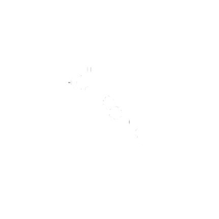 CCOC(=O)/C=C(\C)c1ccc2cc(OCC(=O)OC(C)(C)CC)ccc2c1